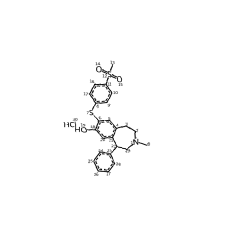 CN1CCc2cc(Sc3ccc(S(C)(=O)=O)cc3)c(O)cc2C(c2ccccc2)C1.Cl